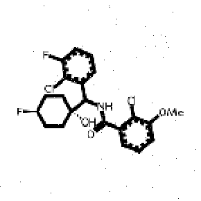 COc1cccc(C(=O)NC(c2cccc(F)c2Cl)[C@]2(O)CC[C@H](F)CC2)c1Cl